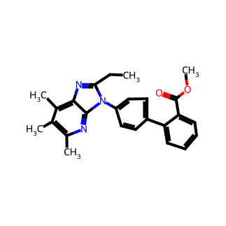 CCc1nc2c(C)c(C)c(C)nc2n1-c1ccc(-c2ccccc2C(=O)OC)cc1